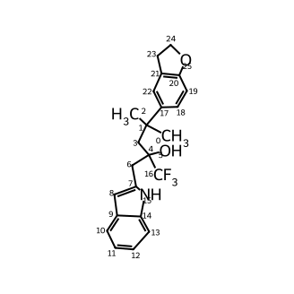 CC(C)(CC(O)(Cc1cc2ccccc2[nH]1)C(F)(F)F)c1ccc2c(c1)CCO2